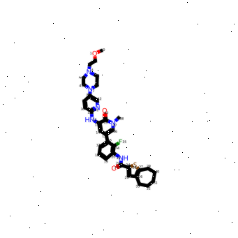 COCCN1CCN(c2ccc(Nc3cc(-c4cccc(NC(=O)c5cc6c(s5)CCCCC6)c4F)cn(C)c3=O)nc2)CC1